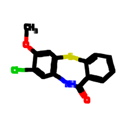 COc1cc2c(cc1Cl)NC(=O)c1ccccc1S2